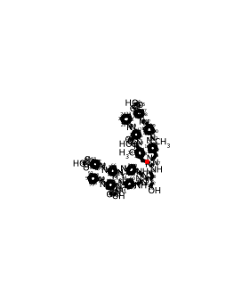 Cc1cc(Cc2nc(Cc3ccc(N=Nc4ccc(N=Nc5ccccc5)cc4S(=O)(=O)O)c(C)c3)nc(NCCN(CCO)c3nc(Nc4ccc(N=Nc5ccc(N=Nc6ccc(S(=O)(=O)O)cc6)cc5)c(C)c4)nc(Nc4ccc(N=Nc5ccc(N=Nc6ccccc6)cc5S(=O)(=O)O)c(C)c4)n3)n2)ccc1N=Nc1ccc(N=Nc2ccc(S(=O)(=O)O)cc2)cc1